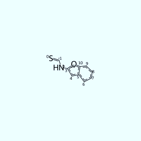 S=[C]Nc1cc2ccccc2o1